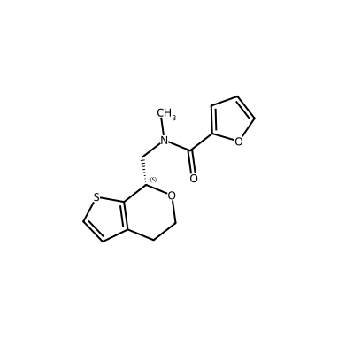 CN(C[C@@H]1OCCc2ccsc21)C(=O)c1ccco1